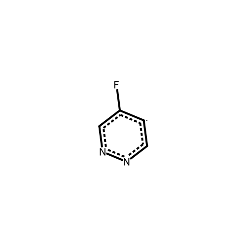 Fc1[c]cnnc1